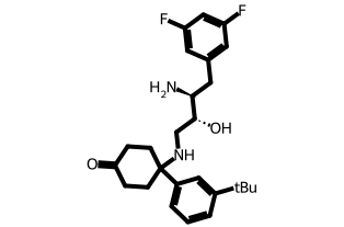 CC(C)(C)c1cccc(C2(NC[C@@H](O)[C@@H](N)Cc3cc(F)cc(F)c3)CCC(=O)CC2)c1